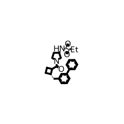 CCS(=O)(=O)NC1CCN(C(=O)C2CC[C@H]2Cc2cccc(-c3ccccc3)c2)C1